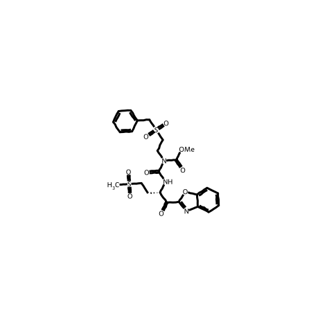 COC(=O)N(CCS(=O)(=O)Cc1ccccc1)C(=O)N[C@@H](CCS(C)(=O)=O)C(=O)c1nc2ccccc2o1